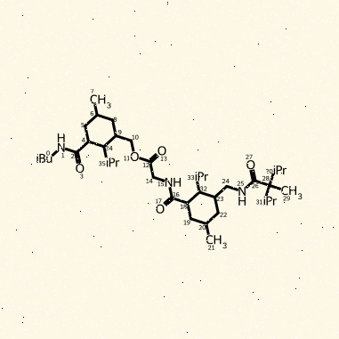 CCC(C)NC(=O)C1CC(C)CC(COC(=O)CNC(=O)C2CC(C)CC(CNC(=O)C(C)(C(C)C)C(C)C)C2C(C)C)C1C(C)C